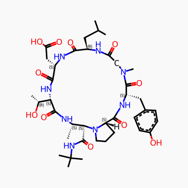 CC(C)C[C@H]1NC(=O)CN(C)C(=O)[C@H](Cc2ccc(O)cc2)NC(=O)[C@@H]2CCCN2[C@H](C(=O)NC(C)(C)C)[C@H](C)NC(=O)[C@H]([C@@H](C)O)NC(=O)[C@H](CC(=O)O)NC1=O